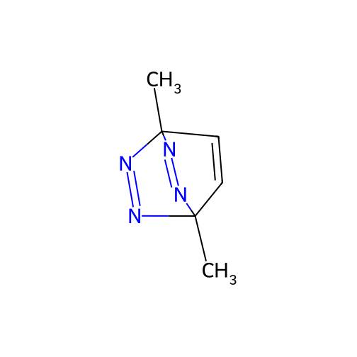 CC12C=CC(C)(N=N1)N=N2